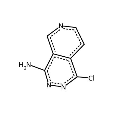 Nc1nnc(Cl)c2ccncc12